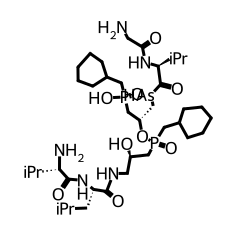 CC(C)C[C@H](NC(=O)[C@@H](N)C(C)C)C(=O)NC[C@@H](O)CP(=O)(CC1CCCCC1)O[C@@H](C[AsH]C(=O)[C@@H](NC(=O)CN)C(C)C)CP(=O)(O)CC1CCCCC1